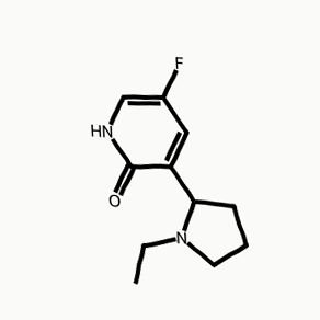 CCN1CCCC1c1cc(F)c[nH]c1=O